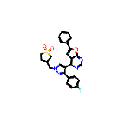 O=S1(=O)CCC(Cn2cc(-c3ncnc4oc(-c5ccccc5)cc34)c(-c3ccc(F)cc3)n2)C1